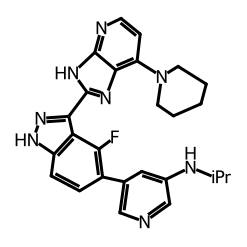 CC(C)Nc1cncc(-c2ccc3[nH]nc(-c4nc5c(N6CCCCC6)ccnc5[nH]4)c3c2F)c1